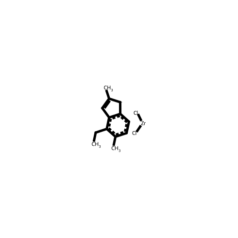 CCc1c(C)ccc2c1C=C(C)[CH]2.[Cl][Zr][Cl]